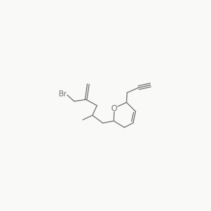 C#CCC1C=CCC(CC(C)CC(=C)CBr)O1